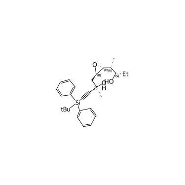 CC[C@H](O)[C@@H](C)[C@H]1O[C@@H]1C[C@@](C)(O)C#C[Si](c1ccccc1)(c1ccccc1)C(C)(C)C